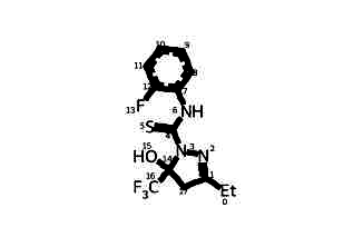 CCC1=NN(C(=S)Nc2ccccc2F)C(O)(C(F)(F)F)C1